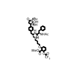 COC(=O)c1c(OCCCCNC[C@@H](Cc2ccc(C3CC(=O)N(C(C)(C)C)S3(O)O)cc2)NC(=O)[C@H](Cc2ccccc2)NC(C)=O)cccc1OC(=O)C(F)(F)F